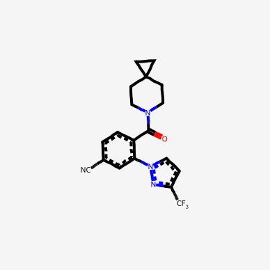 N#Cc1ccc(C(=O)N2CCC3(CC2)CC3)c(-n2ccc(C(F)(F)F)n2)c1